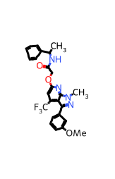 COc1cccc(-c2nn(C)c3nc(OCC(=O)NC(C)c4ccccc4)cc(C(F)(F)F)c23)c1